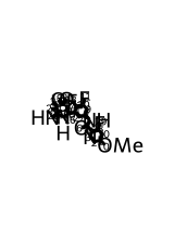 COc1cnc(C(=O)Nc2cc(F)c(F)c([C@]3(C)CS(=O)(=O)C(C)(C)C(=N)N3)c2)c(F)c1